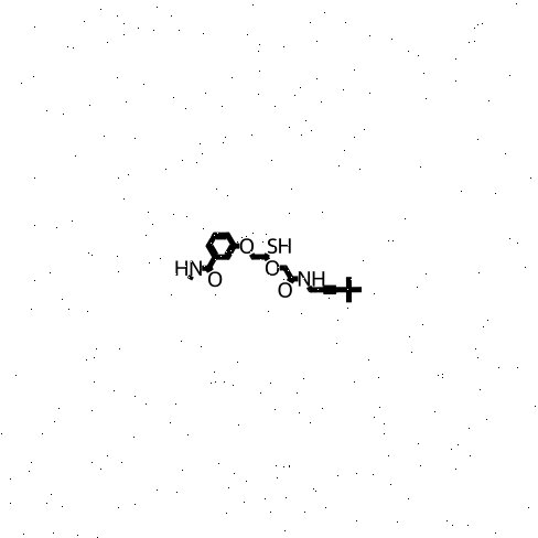 CNC(=O)c1cccc(OCC(S)OCC(=O)NCC#CC(C)(C)C)c1